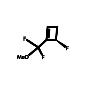 COC(F)(F)C1=CC[C@H]1F